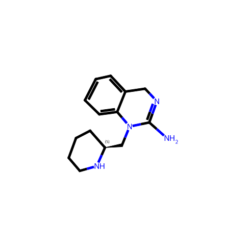 NC1=NCc2ccccc2N1C[C@@H]1CCCCN1